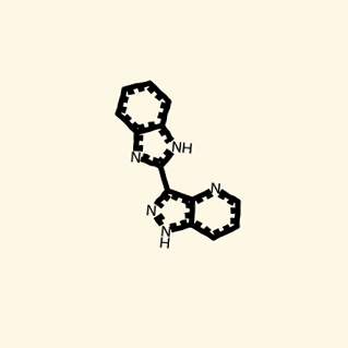 c1ccc2[nH]c(-c3n[nH]c4cccnc34)nc2c1